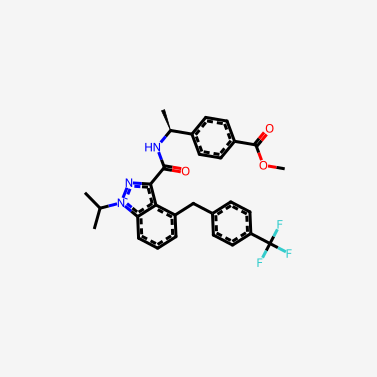 COC(=O)c1ccc([C@H](C)NC(=O)c2nn(C(C)C)c3cccc(Cc4ccc(C(F)(F)F)cc4)c23)cc1